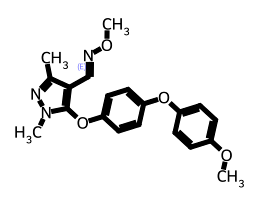 CO/N=C/c1c(C)nn(C)c1Oc1ccc(Oc2ccc(OC)cc2)cc1